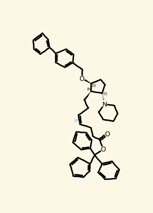 O=C(CC/C=C\CC[C@H]1[C@@H](OCc2ccc(-c3ccccc3)cc2)CC[C@@H]1N1CCCCC1)OC(c1ccccc1)(c1ccccc1)c1ccccc1